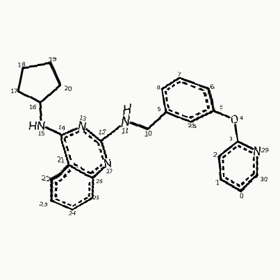 c1ccc(Oc2cccc(CNc3nc(NC4CCCC4)c4ccccc4n3)c2)nc1